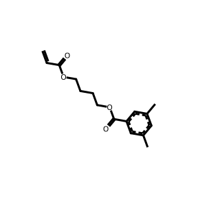 C=CC(=O)OCCCCOC(=O)c1cc(C)cc(C)c1